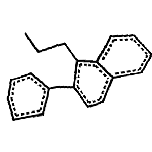 CCCc1c(-c2ccccc2)ccc2ccccc12